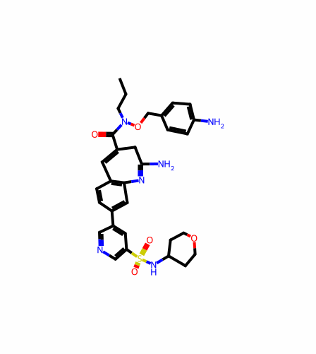 CCCN(OCc1ccc(N)cc1)C(=O)C1=Cc2ccc(-c3cncc(S(=O)(=O)NC4CCOCC4)c3)cc2N=C(N)C1